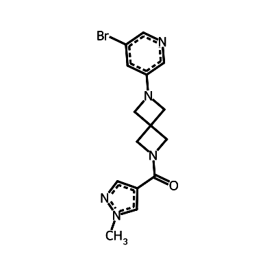 Cn1cc(C(=O)N2CC3(C2)CN(c2cncc(Br)c2)C3)cn1